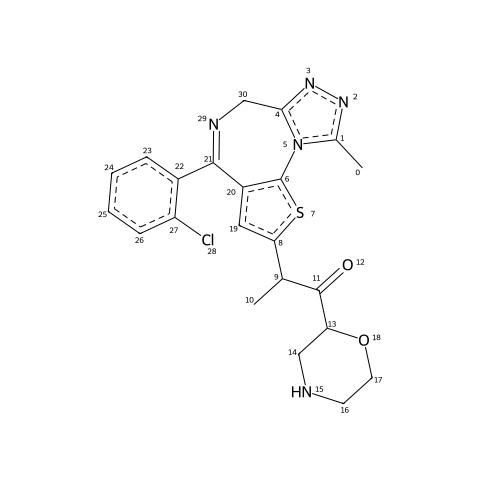 Cc1nnc2n1-c1sc(C(C)C(=O)C3CNCCO3)cc1C(c1ccccc1Cl)=NC2